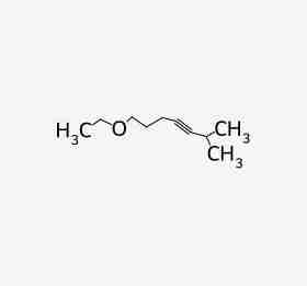 CCOCCCC#CC(C)C